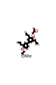 C=CCc1cc(-c2cc(CC=C)c(OCC3CO3)c(CC=C)c2)ccc1OCCOC